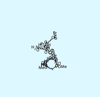 C=C(CBr)C(=O)OCCCCCC(=O)N[C@H](C(=O)N[C@@H](CCCNC(N)=O)C(=O)Nc1ccc(C(=O)N(C)[C@@H](C)C(=O)O[C@H]2CC(=O)N(C)c3cc(cc(OC)c3Cl)C/C(C)=C/C=C/[C@@H](OC)[C@@]3(O)C[C@H](OC(=O)N3)[C@@H](C)[C@@H]3O[C@@]23C)c2ncccc12)C(C)C